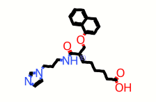 O=C(O)CCCC/C=C(\COc1cccc2ccccc12)C(=O)NCCCn1ccnc1